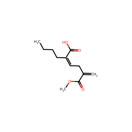 C=C(CC=C(CCCC)C(=O)O)C(=O)OC